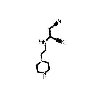 N#CCC(C#N)NCCN1CCNCC1